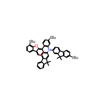 CC(C)(C)c1ccc(-c2cccc3c2oc2c(C(C)(C)C)cccc23)c(N(c2ccc3c(c2)C(C)(C)c2ccccc2-3)c2ccc3c(c2)C(C)(C)c2cc(C(C)(C)C)ccc2-3)c1